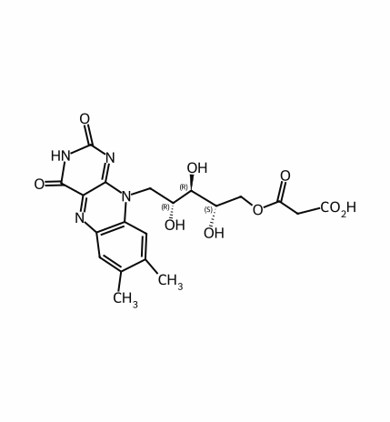 Cc1cc2nc3c(=O)[nH]c(=O)nc-3n(C[C@@H](O)[C@@H](O)[C@@H](O)COC(=O)CC(=O)O)c2cc1C